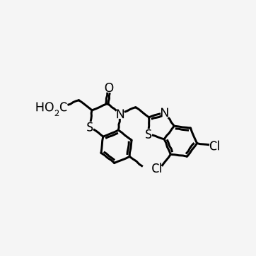 Cc1ccc2c(c1)N(Cc1nc3cc(Cl)cc(Cl)c3s1)C(=O)C(CC(=O)O)S2